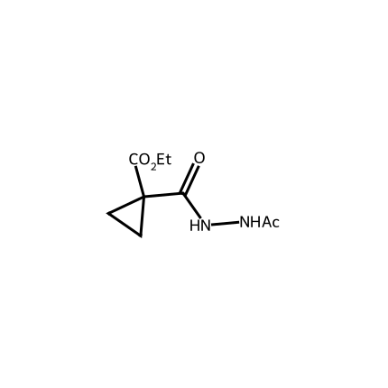 CCOC(=O)C1(C(=O)NNC(C)=O)CC1